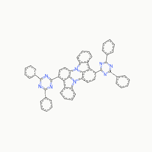 c1ccc(-c2nc(-c3ccccc3)nc(-c3ccc4c5c3c3ccccc3n5c3ccc(-c5nc(-c6ccccc6)nc(-c6ccccc6)n5)c5c6ccccc6n4c53)n2)cc1